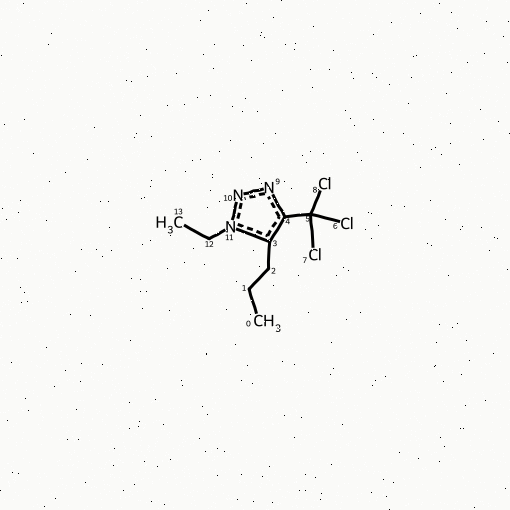 CCCc1c(C(Cl)(Cl)Cl)nnn1CC